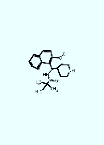 COc1ccc2ccccc2c1[C@H](N[S+]([O-])C(C)(C)C)C1CCNCC1